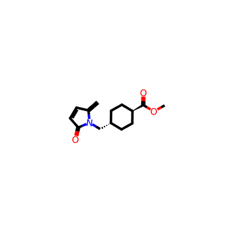 C=C1C=CC(=O)N1C[C@H]1CC[C@H](C(=O)OC)CC1